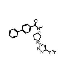 CCCc1cn([C@@H]2CC[C@H](N(C)C(=O)c3ccc(-c4ccccc4)cc3)C2)nn1